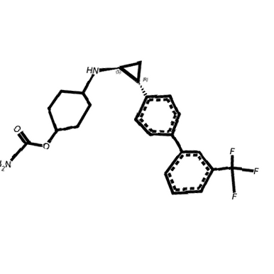 NC(=O)OC1CCC(N[C@H]2C[C@@H]2c2ccc(-c3cccc(C(F)(F)F)c3)cc2)CC1